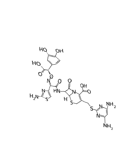 Nc1cc(N)nc(SCC2=C(C(=O)O)N3C(=O)C(NC(=O)/C(=N\O[C@@H](C(=O)O)c4ccc(O)c(O)c4)c4csc(N)n4)[C@@H]3SC2)n1